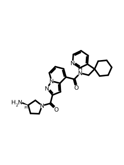 N[C@@H]1CCN(C(=O)c2cc3c(C(=O)NCC4(c5cccnc5)CCCCC4)cccn3n2)C1